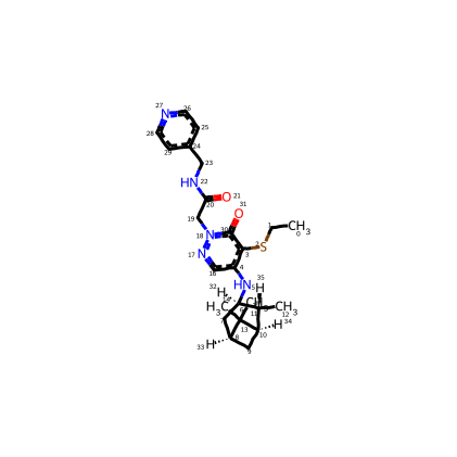 CCSc1c(N[C@@H]2C[C@@H]3C[C@H]([C@H]2C)C3(C)C)cnn(CC(=O)NCc2ccncc2)c1=O